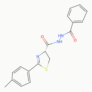 Cc1ccc(C2=N[C@H](C(=O)NNC(=O)c3ccccc3)CS2)cc1